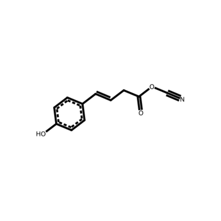 N#COC(=O)C/C=C/c1ccc(O)cc1